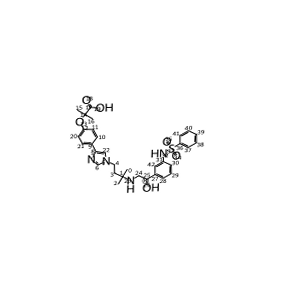 CC(C)(CCn1cnc(-c2ccc(OC(C)(C)C(=O)O)cc2)c1)NC[C@H](O)c1cccc(NS(=O)(=O)c2ccccc2)c1